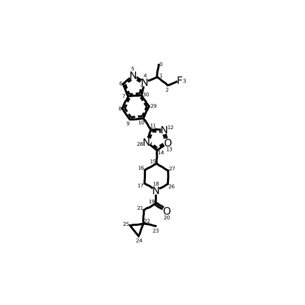 CC(CF)n1ncc2ccc(-c3noc(C4CCN(C(=O)CC5(C)CC5)CC4)n3)cc21